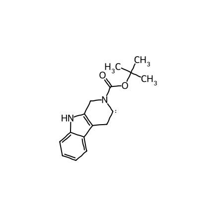 CC(C)(C)OC(=O)N1[C]Cc2c([nH]c3ccccc23)C1